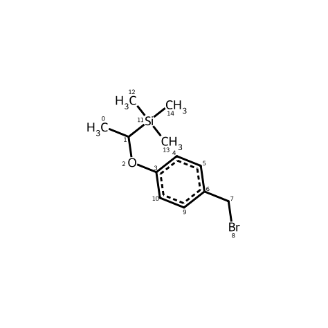 CC(Oc1ccc(CBr)cc1)[Si](C)(C)C